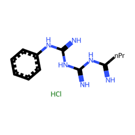 CCCC(=N)NC(=N)NC(=N)Nc1ccccc1.Cl